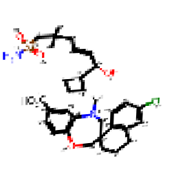 CC(C)(C/C=C/[C@H](O)[C@@H]1CC[C@H]1CN1CC2(CCCc3cc(Cl)ccc32)COc2ccc(C(=O)O)cc21)CS(N)(=O)=O